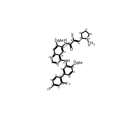 COc1cc2ncnc(Nc3cc(-c4ccc(F)cc4F)ccc3OC)c2cc1NC(=O)/C(F)=C/[C@H]1CCCN1C